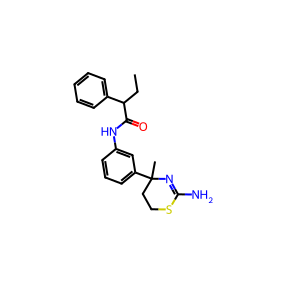 CCC(C(=O)Nc1cccc(C2(C)CCSC(N)=N2)c1)c1ccccc1